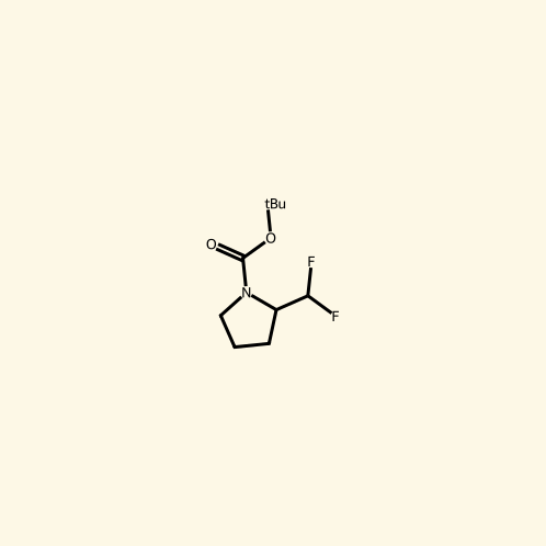 CC(C)(C)OC(=O)N1CCCC1C(F)F